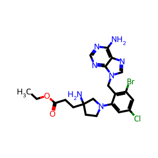 CCOC(=O)CCC1(N)CCN(c2cc(Cl)cc(Br)c2Cn2cnc3c(N)ncnc32)C1